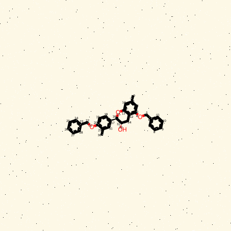 Cc1cc(OCc2ccccc2)c2c(c1)O[C@H](c1ccc(OCc3ccccc3)c(C)c1)[C@@H](O)C2